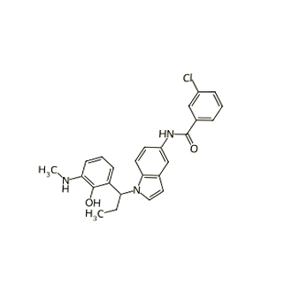 CCC(c1cccc(NC)c1O)n1ccc2cc(NC(=O)c3cccc(Cl)c3)ccc21